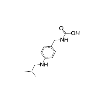 CC(C)CNc1ccc(CNC(=O)O)cc1